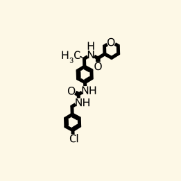 C[C@H](NC(=O)C1CCCOC1)c1ccc(NC(=O)NCc2ccc(Cl)cc2)cc1